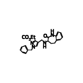 CCOC(=O)c1nn(Cc2ccccc2)cc1CNC1CCc2ccccc2NC1=O